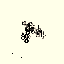 CC(C)(C)[S@@+]([O-])N[C@@H](CC(C)(C)C(F)(F)F)c1nc2cc([C@@H](C3CC3)N3C(=O)c4ccccc4C3=O)ccc2n1COCC[Si](C)(C)C